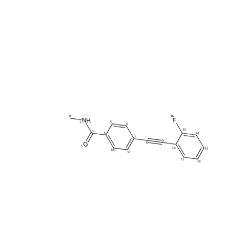 CNC(=O)c1ccc(C#Cc2ccccc2F)cc1